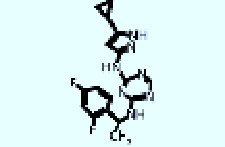 C[C@H](Nc1ncnc(Nc2cc(C3CC3)[nH]n2)n1)c1ccc(F)cc1F